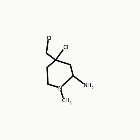 CN1CCC(Cl)(CCl)CC1N